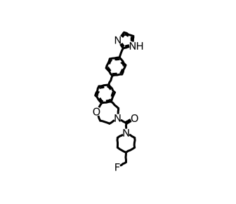 O=C(N1CCC(CF)CC1)N1CCOc2ccc(-c3ccc(-c4ncc[nH]4)cc3)cc2C1